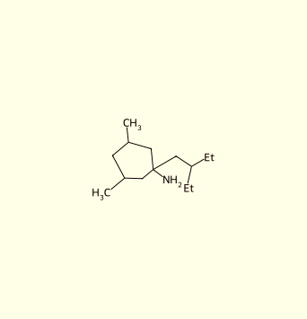 CCC(CC)CC1(N)CC(C)CC(C)C1